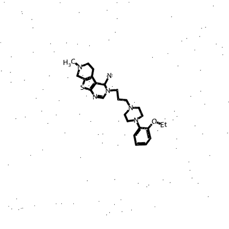 CCOc1ccccc1N1CCN(CCCN2C=Nc3sc4c(c3C2[N])CCN(C)C4)CC1